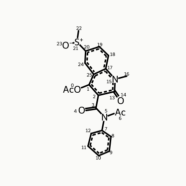 CC(=O)Oc1c(C(=O)N(C(C)=O)c2ccccc2)c(=O)n(C)c2ccc([S+](C)[O-])cc12